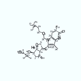 C#P1C[C@@H](O[Si](C)(C)C(C)(C)C)[C@H]2OC[C@@H](Oc3c(C)c4nc(Cl)c(F)cc4n3COCC[Si](C)(C)C)C21